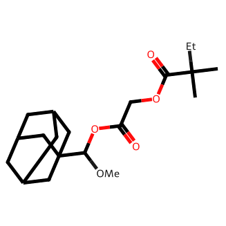 CCC(C)(C)C(=O)OCC(=O)OC(OC)C12CC3CC(CC(C3)C1)C2